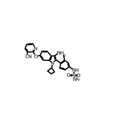 CCCS(=O)(=O)Nc1ccc(-c2c(N)c3ccc(Oc4ncccc4C#N)cc3n2C2CCC2)c(C)c1